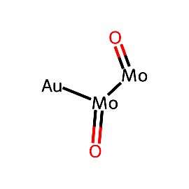 [O]=[Mo][Mo](=[O])[Au]